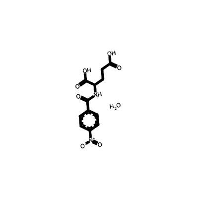 O.O=C(O)CCC(NC(=O)c1ccc([N+](=O)[O-])cc1)C(=O)O